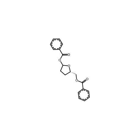 O=C(OC[C@@H]1CCC(OC(=O)c2ccccc2)O1)c1ccccc1